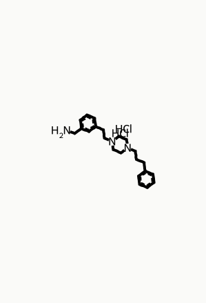 Cl.Cl.NCc1cccc(CCN2CCN(CCCc3ccccc3)CC2)c1